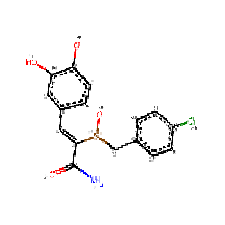 NC(=O)/C(=C/c1ccc(O)c(O)c1)[S+]([O-])Cc1ccc(Cl)cc1